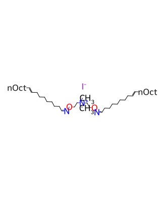 CCCCCCCC/C=C/CCCCCCC/C=N\OCC[N+](C)(C)CCO/N=C\CCCCCCC/C=C/CCCCCCCC.[I-]